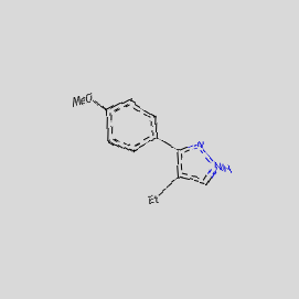 CCc1c[nH]nc1-c1ccc(OC)cc1